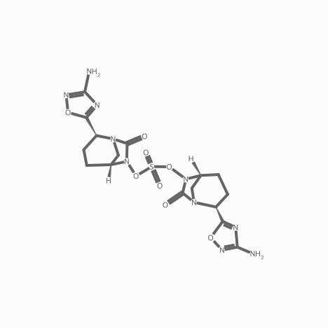 Nc1noc([C@@H]2CC[C@@H]3CN2C(=O)N3OS(=O)(=O)ON2C(=O)N3C[C@H]2CC[C@H]3c2nc(N)no2)n1